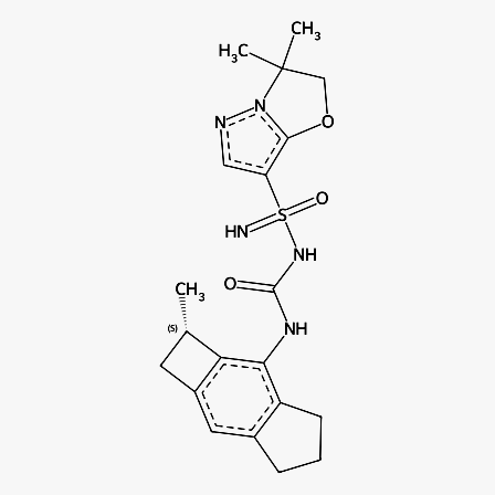 C[C@H]1Cc2cc3c(c(NC(=O)NS(=N)(=O)c4cnn5c4OCC5(C)C)c21)CCC3